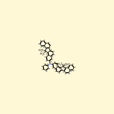 CC1(C)c2c(ccc3ccccc23)-c2ccc3cc(N(c4ccccc4)c4ccc5c6c(ccc5c4)-c4ccc5ccccc5c4C6(C)C)ccc3c21